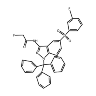 O=C(CF)Nc1nn(C(c2ccccc2)(c2ccccc2)c2ccccc2)c2ccc(S(=O)(=O)c3cccc(F)c3)cc12